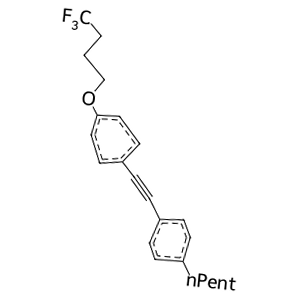 CCCCCc1ccc(C#Cc2ccc(OCCCC(F)(F)F)cc2)cc1